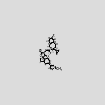 Cn1cc(-c2ccc3c(c2)CC[C@]32OC(=O)N(CC(=O)N3Cc4ccc(F)cc4CC[C@@]3(I)C3CC3)C2=O)cn1